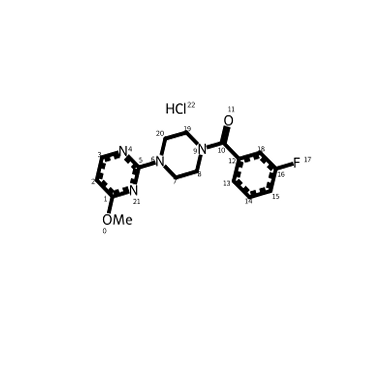 COc1ccnc(N2CCN(C(=O)c3cccc(F)c3)CC2)n1.Cl